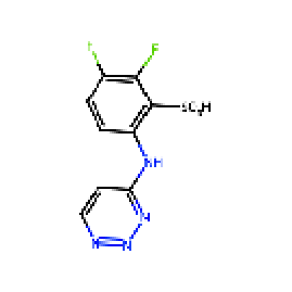 O=S(=O)(O)c1c(Nc2ccnnn2)ccc(F)c1F